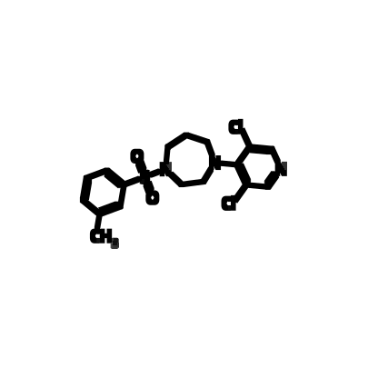 Cc1cccc(S(=O)(=O)N2CCCN(c3c(Cl)cncc3Cl)CC2)c1